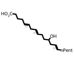 CCCCC/C=C/CC(O)CC/C=C/C/C=C/CCCC(=O)O